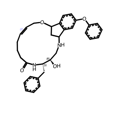 O=C1CCC/C=C\COC2CC(NC[C@@H](O)[C@H](Cc3ccccc3)N1)c1cc(Oc3ccccc3)ccc12